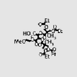 CCC(=O)OCC(C)(COC(=O)CC)C(=O)OC(C(=O)O)C(OC(=O)C(C)(COC(=O)CC)COC(=O)CC)C(=O)OCCOC